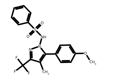 COc1ccc(-c2c(C)c(C(F)(F)F)nn2NS(=O)(=O)c2ccccc2)cc1